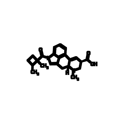 CC1CCC1(C)C(=O)n1cc2c3c(cccc31)C1=C[C@@H](C(=O)O)CN(C)[C@@H]1C2